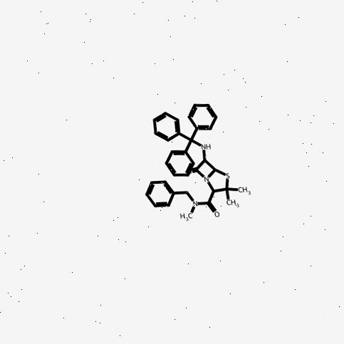 CN(Cc1ccccc1)C(=O)C1N2C(=O)C(NC(c3ccccc3)(c3ccccc3)c3ccccc3)C2SC1(C)C